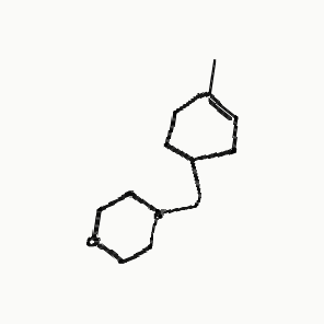 CC1=CCC(CN2CCOCC2)CC1